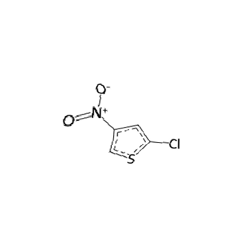 O=[N+]([O-])c1csc(Cl)c1